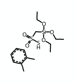 CCO[Si](CS(=O)(=O)S)(OCC)OCC.Cc1ccccc1C